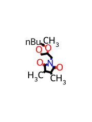 CCCCC1(C)OCC(CN2C(=O)C(C)C(C)C2=O)O1